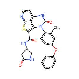 Cc1cc(Oc2ccccc2)ccc1N1C(=O)Nc2ccnc3sc(C(=O)NC4CNC(=O)C4)c1c23